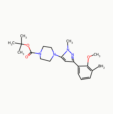 Bc1cccc(-c2cc(N3CCN(C(=O)OC(C)(C)C)CC3)n(C)n2)c1OC